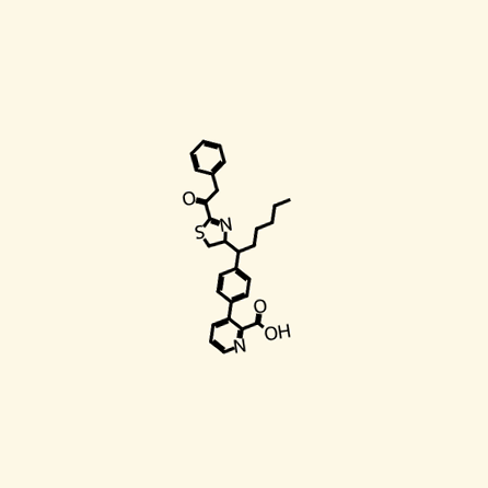 CCCCCC(c1ccc(-c2cccnc2C(=O)O)cc1)C1CSC(C(=O)Cc2ccccc2)=N1